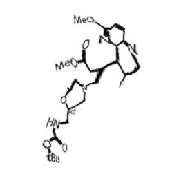 COC(=O)C(CN1CCO[C@H](CNC(=O)OC(C)(C)C)C1)c1c(F)cnc2ccc(OC)nc12